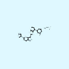 CN(C)CCOc1cc(F)cc(-c2ccnc3[nH]c(-c4n[nH]c5ccc(-c6cn[nH]c6)nc45)nc23)c1